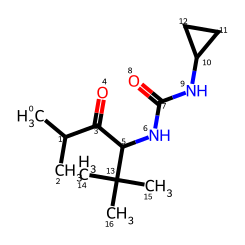 CC(C)C(=O)C(NC(=O)NC1CC1)C(C)(C)C